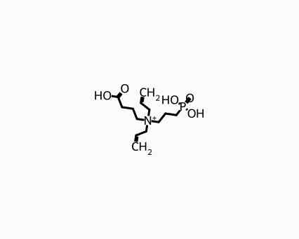 C=CC[N+](CC=C)(CCCC(=O)O)CCCP(=O)(O)O